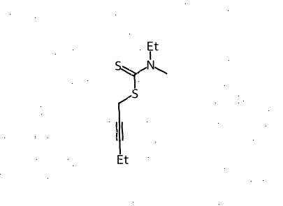 CCC#CCSC(=S)N(C)CC